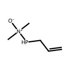 C=CCP[N+](C)(C)[O-]